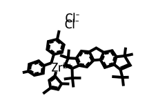 CC1=CC(C)[C]([Zr+2]([C]2=C(C(C)(C)C)c3cc4c(cc3C2(C)C)Cc2cc3c(cc2-4)C(C(C)(C)C)=CC3(C)C)=[C](c2ccc(C)cc2)c2ccc(C)cc2)=C1.[Cl-].[Cl-]